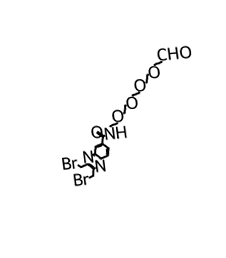 O=CCCOCCOCCOCCOCCNC(=O)c1ccc2nc(CBr)c(CBr)nc2c1